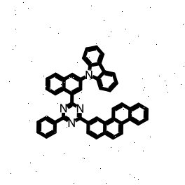 c1ccc(-c2nc(-c3ccc4ccc5c6ccccc6ccc5c4c3)nc(-c3cc(-n4c5ccccc5c5ccccc54)cc4ccccc34)n2)cc1